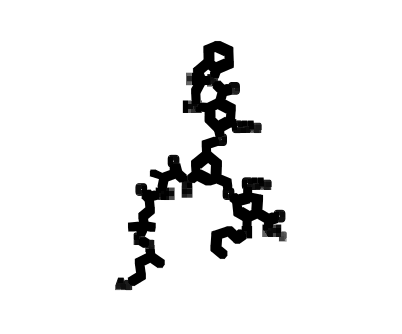 C/C=C\C/C=N\c1cc(OCc2cc(COc3cc4c(cc3OC)C(=O)N3c5ccccc5C[C@H]3CN4)cc(NC(=O)[C@H](C)NC(=O)CCC(C)(C)SSC(C)CCC(C)=O)c2)c(OC)cc1C(N)=O